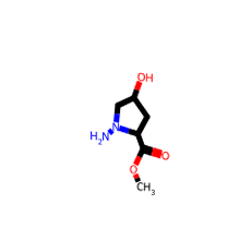 COC(=O)C1CC(O)CN1N